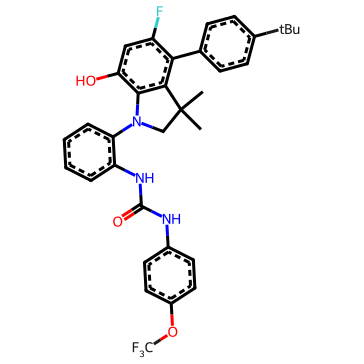 CC(C)(C)c1ccc(-c2c(F)cc(O)c3c2C(C)(C)CN3c2ccccc2NC(=O)Nc2ccc(OC(F)(F)F)cc2)cc1